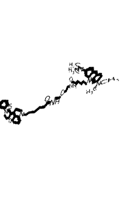 CN(C)c1ccc2cc3ccc(N(C)C)cc3[n+](CCCCCC(=O)NCCOCCNC(=O)CCCCCN3C=CC4=C5c6sc7ccccc7[n+]6CCC5Oc5cccc3c54)c2c1